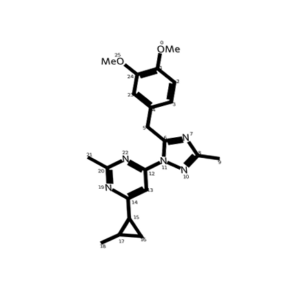 COc1ccc(Cc2nc(C)nn2-c2cc(C3CC3C)nc(C)n2)cc1OC